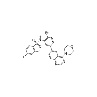 CCc1ncc(-c2ccc3ncnc(N4CCOCC4)c3c2)cc1NS(=O)(=O)c1ccc(F)cc1F